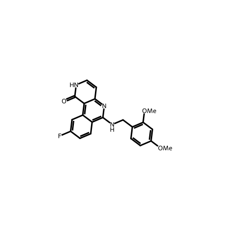 COc1ccc(CNc2nc3cc[nH]c(=O)c3c3cc(F)ccc23)c(OC)c1